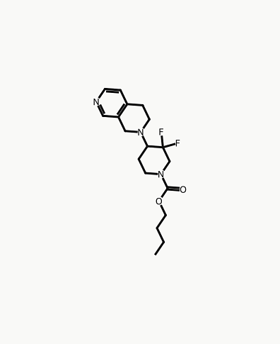 CCCCOC(=O)N1CCC(N2CCc3ccncc3C2)C(F)(F)C1